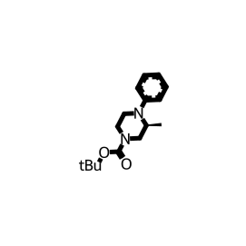 C[C@H]1CN(C(=O)OC(C)(C)C)CCN1c1ccccc1